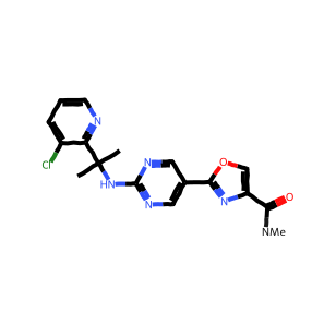 CNC(=O)c1coc(-c2cnc(NC(C)(C)c3ncccc3Cl)nc2)n1